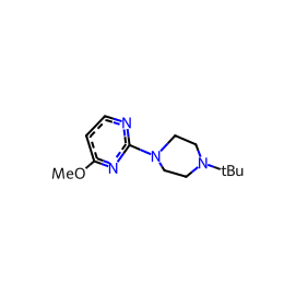 COc1ccnc(N2CCN(C(C)(C)C)CC2)n1